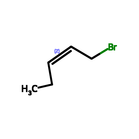 CC/C=C\CBr